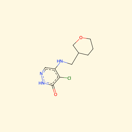 O=c1[nH]ncc(NCC2CCCOC2)c1Cl